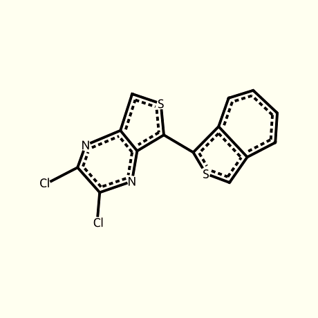 Clc1nc2csc(-c3scc4ccccc34)c2nc1Cl